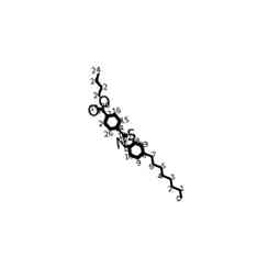 CCCCCCCCc1ccc2nc(-c3ccc(C(=O)OCCCC)cc3)sc2c1